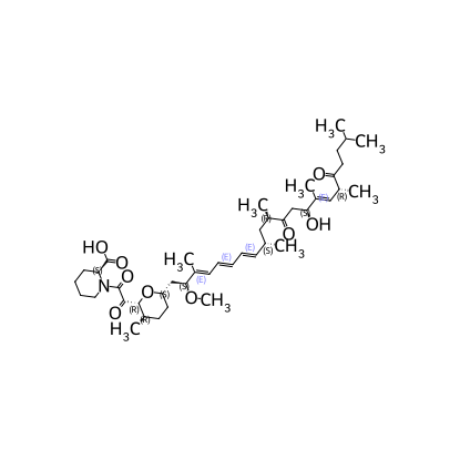 CO[C@@H](C[C@@H]1CC[C@@H](C)[C@H](C(=O)C(=O)N2CCCC[C@H]2C(=O)O)O1)/C(C)=C/C=C/C=C/[C@@H](C)C[C@@H](C)C(=O)C[C@H](O)/C(C)=C/[C@@H](C)C(=O)CCC(C)C